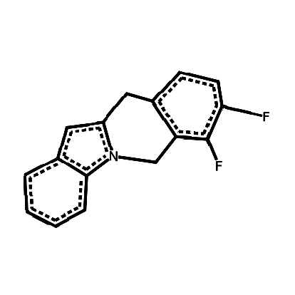 Fc1ccc2c(c1F)Cn1c(cc3ccccc31)C2